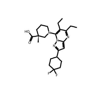 CCc1nc2cc(C3CCC(F)(F)CC3)nn2c(N2CCC[C@@](C)(C(=O)O)C2)c1CC